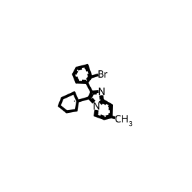 Cc1ccn2c([C]3CCCCC3)c(-c3ccccc3Br)nc2c1